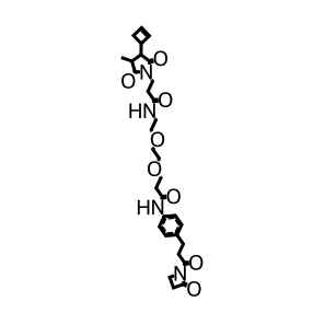 CC1C(=O)N(CCC(=O)NCCOCCOCCC(=O)Nc2ccc(CCC(=O)N3CCC3=O)cc2)C(=O)C1C1C=CC1